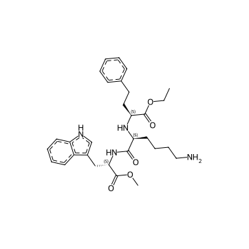 CCOC(=O)[C@H](CCc1ccccc1)N[C@@H](CCCCN)C(=O)N[C@@H](Cc1c[nH]c2ccccc12)C(=O)OC